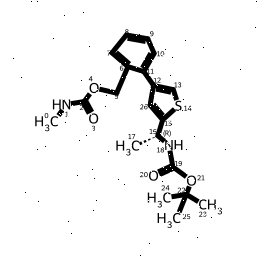 CNC(=O)OCc1ccccc1-c1csc([C@@H](C)NC(=O)OC(C)(C)C)c1